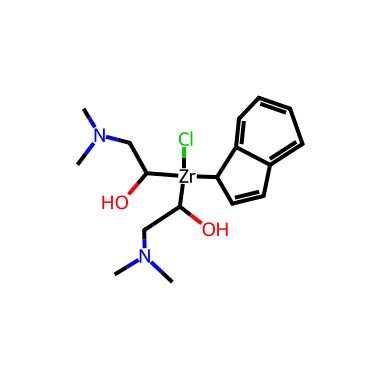 CN(C)C[CH](O)[Zr]([Cl])([CH](O)CN(C)C)[CH]1C=Cc2ccccc21